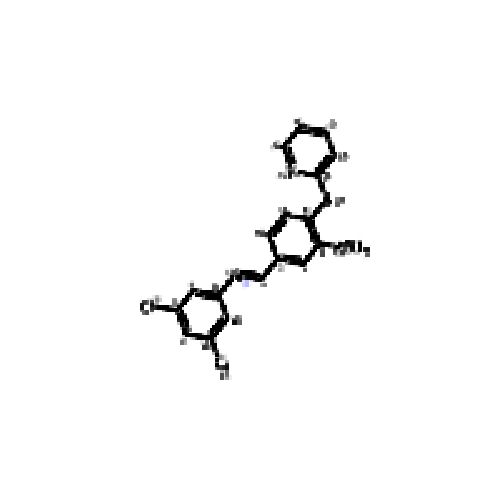 O=[N+]([O-])c1cc(/C=N/c2cc(Cl)cc(Cl)c2)ccc1Sc1ccccn1